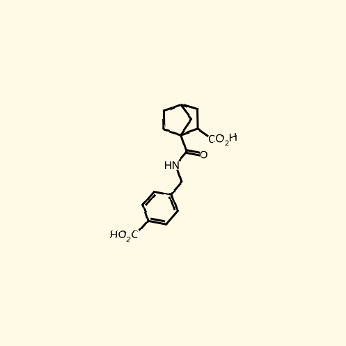 O=C(O)c1ccc(CNC(=O)C23CCC(CC2C(=O)O)C3)cc1